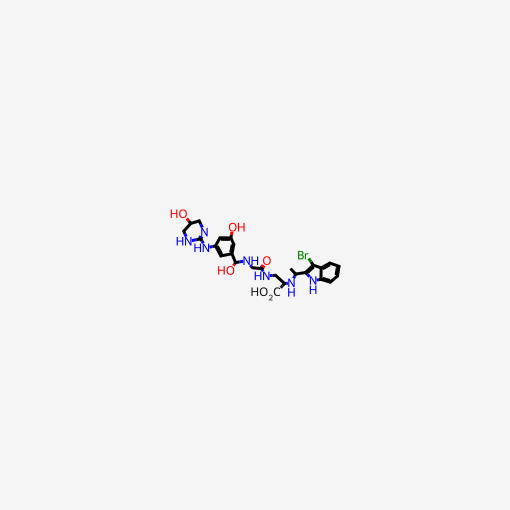 CC(NC(CNC(=O)CNC(O)c1cc(O)cc(NC2=NCC(O)CN2)c1)C(=O)O)c1[nH]c2ccccc2c1Br